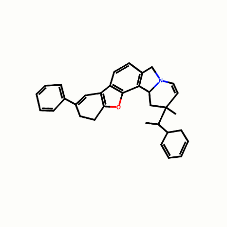 CC(C1C=CC=CC1)C1(C)C=CN2Cc3ccc4c5c(oc4c3C2C1)CCC(c1ccccc1)=C5